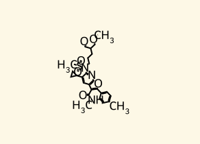 CNC(=O)c1c(-c2ccc(C)cc2)oc2nc(N(CCCC(C=O)COC)S(C)(=O)=O)c(C3CC3)cc12